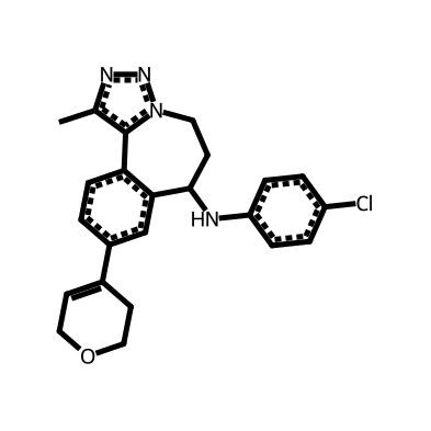 Cc1nnn2c1-c1ccc(C3=CCOCC3)cc1C(Nc1ccc(Cl)cc1)CC2